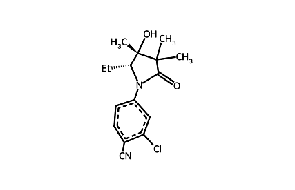 CC[C@H]1N(c2ccc(C#N)c(Cl)c2)C(=O)C(C)(C)[C@@]1(C)O